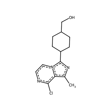 Cc1nc(C2CCC(CO)CC2)n2ccnc(Cl)c12